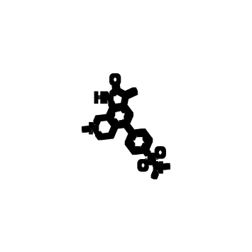 C=C1C(=O)Nc2c1cc(-c1ccc(S(=O)(=O)N(C)C)cc1)c1c2CN(C)CC1